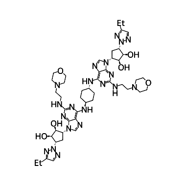 CCc1cnn([C@H]2C[C@@H](n3cnc4c(N[C@H]5CC[C@H](Nc6nc(NCCN7CCOCC7)nc7c6ncn7[C@@H]6C[C@H](n7ncc(CC)n7)[C@@H](O)[C@H]6O)CC5)nc(NCCN5CCOCC5)nc43)[C@H](O)[C@@H]2O)n1